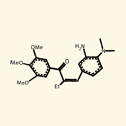 CCC(=Cc1ccc(N(C)C)c(N)c1)C(=O)c1cc(OC)c(OC)c(OC)c1